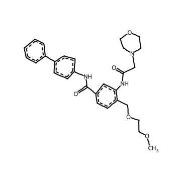 COCCOCc1ccc(C(=O)Nc2ccc(-c3ccccc3)cc2)cc1NC(=O)CN1CCOCC1